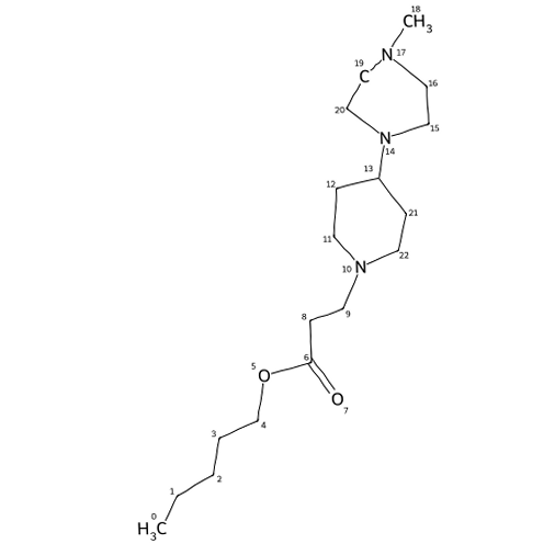 CCCCCOC(=O)CCN1CCC(N2CCN(C)CC2)CC1